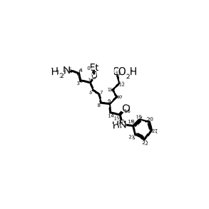 CCOC(CCN)CCCC(CCCC(=O)O)CC(=O)Nc1ccccc1